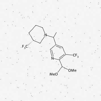 COC(OC)c1ncc(C(C)N2CCC[C@@H](C(F)(F)F)C2)cc1C(F)(F)F